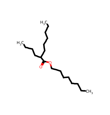 CCCCCCCCOC(=O)C(CCCC)CCCCCC